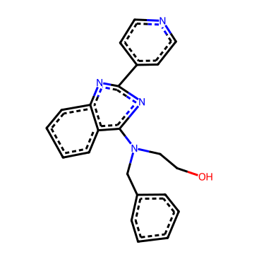 OCCN(Cc1ccccc1)c1nc(-c2ccncc2)nc2ccccc12